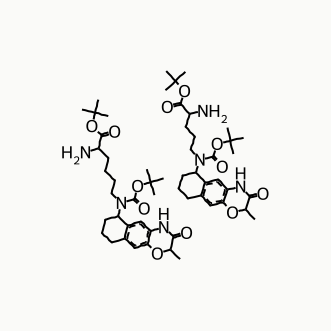 CC1Oc2cc3c(cc2NC1=O)C(N(CCCC(N)C(=O)OC(C)(C)C)C(=O)OC(C)(C)C)CCC3.CC1Oc2cc3c(cc2NC1=O)C(N(CCCCC(N)C(=O)OC(C)(C)C)C(=O)OC(C)(C)C)CCC3